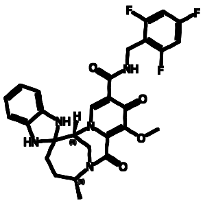 COc1c2n(cc(C(=O)NCc3c(F)cc(F)cc3F)c1=O)[C@@H]1CN(C2=O)[C@@H](C)CCC12Nc1ccccc1N2